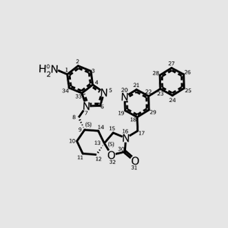 Nc1ccc2ncn(C[C@H]3CCC[C@]4(C3)CN(Cc3cncc(-c5ccccc5)c3)C(=O)O4)c2c1